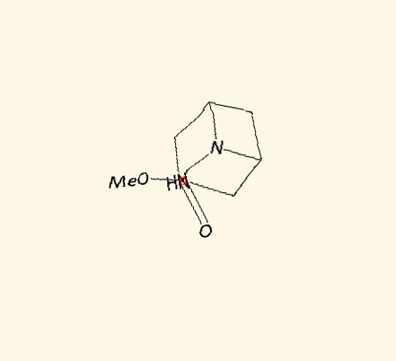 COC(=O)N1C2CNCC1C2